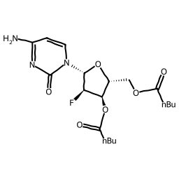 CCCCC(=O)OC[C@H]1O[C@@H](n2ccc(N)nc2=O)[C@H](F)[C@@H]1OC(=O)CCCC